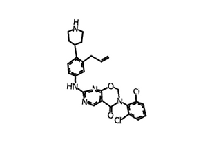 C=CCc1cc(Nc2ncc3c(n2)OCN(c2c(Cl)cccc2Cl)C3=O)ccc1C1CCNCC1